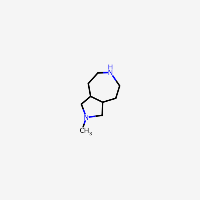 CN1CC2CCNCCC2C1